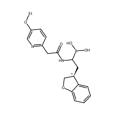 CCOc1ccc(CC(=O)NC(C[C@@H]2COc3ccccc32)B(O)O)nc1